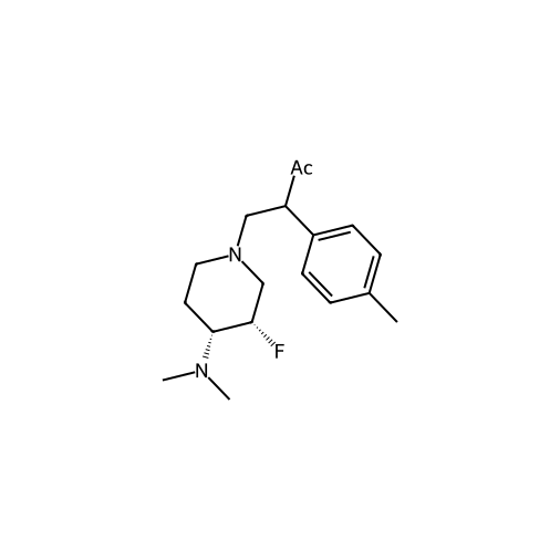 CC(=O)C(CN1CC[C@@H](N(C)C)[C@@H](F)C1)c1ccc(C)cc1